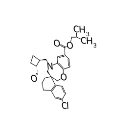 CC(C)COC(=O)c1ccc2c(c1)N(C[C@@H]1CC[C@H]1C=O)C[C@@]1(CCCc3cc(Cl)ccc31)CO2